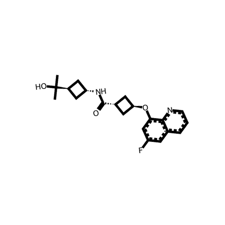 CC(C)(O)[C@H]1C[C@H](NC(=O)[C@H]2C[C@H](Oc3cc(F)cc4cccnc34)C2)C1